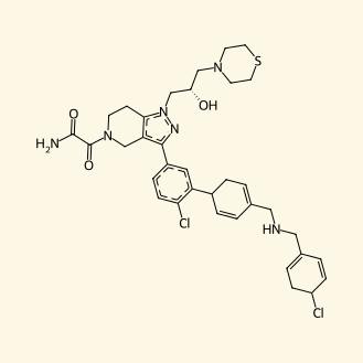 NC(=O)C(=O)N1CCc2c(c(-c3ccc(Cl)c(C4C=CC(CNCC5=CCC(Cl)C=C5)=CC4)c3)nn2C[C@@H](O)CN2CCSCC2)C1